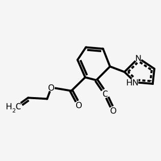 C=CCOC(=O)C1=CC=CC(c2ncc[nH]2)C1=C=O